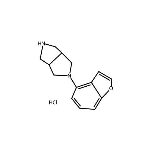 Cl.c1cc(N2CC3CNCC3C2)c2ccoc2c1